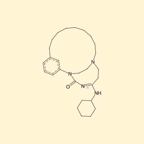 O=C1/N=C(/NC2CCCCC2)CCN2CCCCCCCCCc3cccc(c3)N1CC2